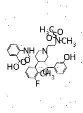 Cc1c(F)cccc1[C@@H]1[C@@H](C(=O)c2cccc(O)c2)CN(CCN(C)S(C)(=O)=O)C[C@H]1C(=O)Nc1ccccc1C(=O)O